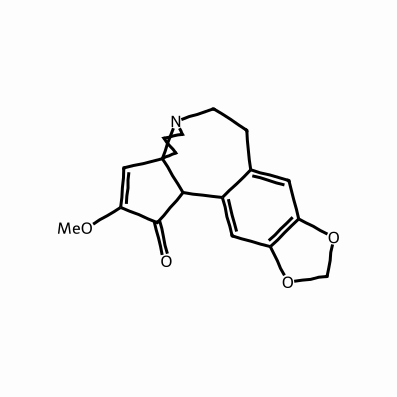 COC1=CC23CCCN2CCc2cc4c(cc2C3C1=O)OCO4